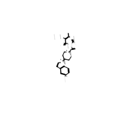 CCc1c(C)nc2scc(N3CCC(n4ccc5cc(F)ccc54)CC3)n2c1=O